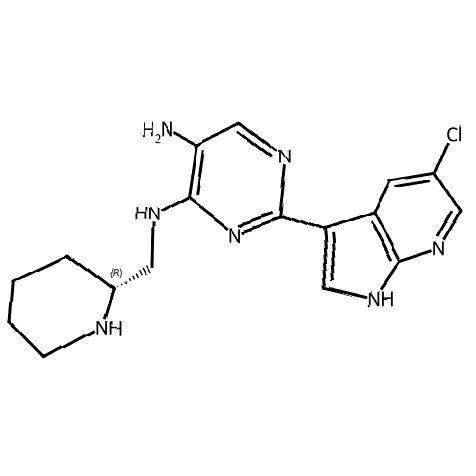 Nc1cnc(-c2c[nH]c3ncc(Cl)cc23)nc1NC[C@H]1CCCCN1